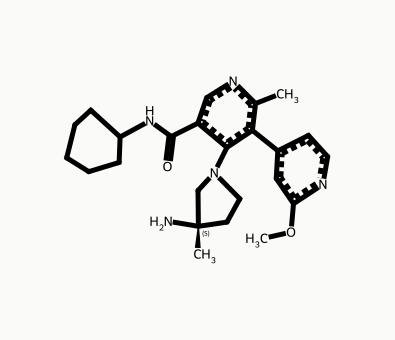 COc1cc(-c2c(C)ncc(C(=O)NC3CCCCC3)c2N2CC[C@](C)(N)C2)ccn1